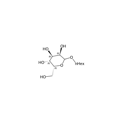 CCCCCCO[C]1O[C@H](CO)[C@H](O)[C@@H](O)[C@H]1O